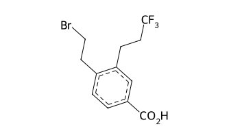 O=C(O)c1ccc(CCBr)c(CCC(F)(F)F)c1